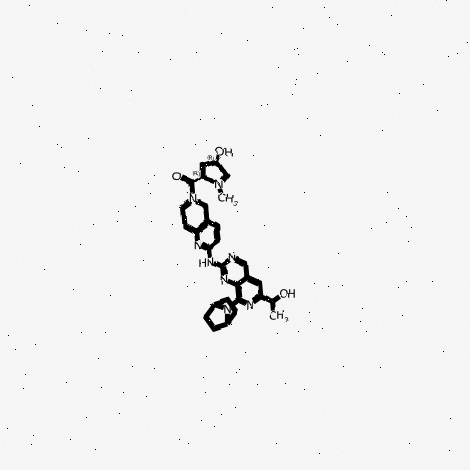 CC(O)c1cc2cnc(Nc3ccc4c(n3)CCN(C(=O)[C@H]3C[C@@H](O)CN3C)C4)nc2c(N2C3CCC2CC3)n1